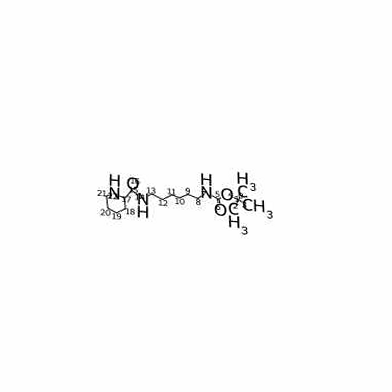 CC(C)(C)OC(=O)NCCCCCCNC(=O)C1CCCCN1